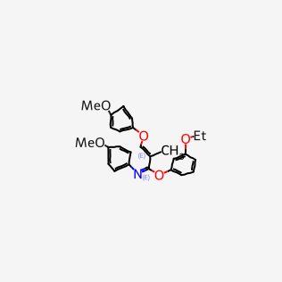 CCOc1cccc(OC(=N/c2ccc(OC)cc2)/C(C)=C/Oc2ccc(OC)cc2)c1